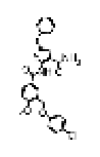 COc1ccc(C(=O)Nc2sc(Cc3ccccc3)cc2C(N)=O)cc1COc1ccc(Cl)cc1